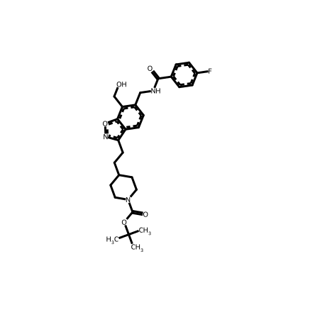 CC(C)(C)OC(=O)N1CCC(CCc2noc3c(CO)c(CNC(=O)c4ccc(F)cc4)ccc23)CC1